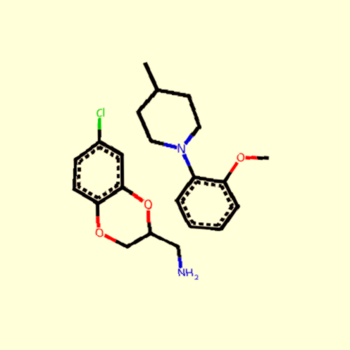 COc1ccccc1N1CCC(C)CC1.NCC1COc2ccc(Cl)cc2O1